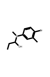 CCC(O)N(C)c1ccc(Br)c(C)c1